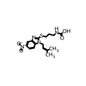 CC(C)=CCn1c(SCCCNC(=O)O)nc2cc([N+](=O)[O-])ccc21